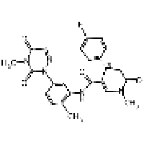 Cc1ccc(-n2ncc(=O)n(C)c2=O)cc1NC(=O)C1=CN(C)C(=O)C[C@H]1c1ccc(F)cc1